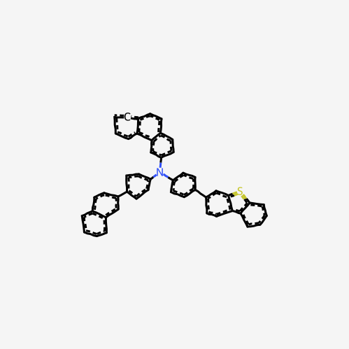 c1ccc2cc(-c3ccc(N(c4ccc(-c5ccc6c(c5)sc5ccccc56)cc4)c4ccc5ccc6ccccc6c5c4)cc3)ccc2c1